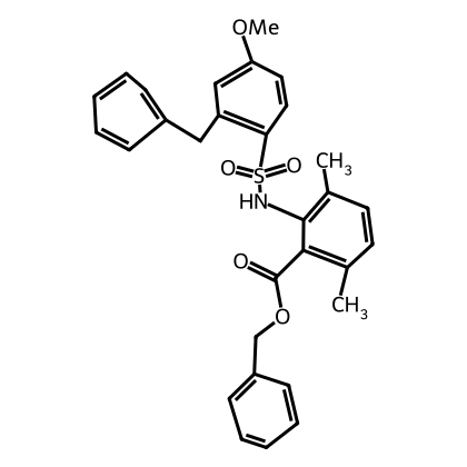 COc1ccc(S(=O)(=O)Nc2c(C)ccc(C)c2C(=O)OCc2ccccc2)c(Cc2ccccc2)c1